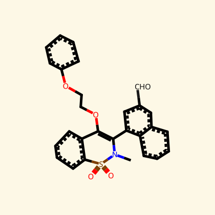 CN1C(c2cc(C=O)cc3ccccc23)=C(OCCOc2ccccc2)c2ccccc2S1(=O)=O